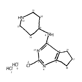 Cl.Cl.Clc1nc2c(c(NC3CCNCC3)n1)CCC2